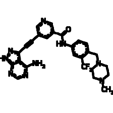 CN1CCN(Cc2ccc(NC(=O)c3cncc(C#Cc4n[nH]c5ncnc(N)c45)c3)cc2C(F)(F)F)CC1